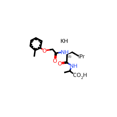 Cc1ccccc1OCC(=O)N[C@@H](CC(C)C)C(=O)NC(C)C(=O)O.[KH]